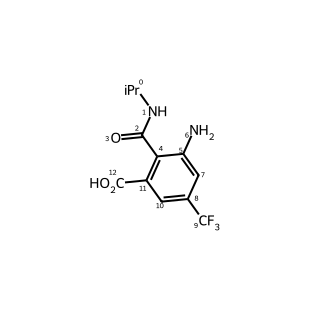 CC(C)NC(=O)c1c(N)cc(C(F)(F)F)cc1C(=O)O